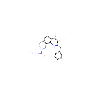 NC(=O)N1CCc2ccc3c(C(=O)O)c(O)c(Cc4ccc(Cl)cc4)nc3c2C1